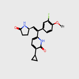 CC(C)Oc1ccc(C(=C[C@H]2CCC(=O)N2)c2ccc(C3CC3)c(=O)[nH]2)cc1F